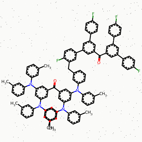 Cc1cccc(N(c2cccc(C)c2)c2cc(C(=O)c3cc(N(c4cccc(C)c4)c4cccc(C)c4)cc(N(c4cccc(C)c4)c4cccc(Cc5cc(-c6cc(C(=O)c7cc(-c8ccc(F)cc8)cc(-c8ccc(F)cc8)c7)cc(-c7ccc(F)cc7)c6)ccc5F)c4)c3)cc(N(c3cccc(C)c3)c3cccc(C)c3)c2)c1